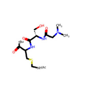 CC(=O)NCSCC(NC(=O)[C@H](CO)NC(=O)CN(C)C)C(=O)C(C)(C)C